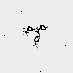 COC(=O)C1CCN(Cc2cn(-c3cccc(C(F)(F)F)c3)nc2-c2ccc(F)cc2)CC1